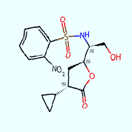 O=C1O[C@H]([C@H](CO)NS(=O)(=O)c2ccccc2[N+](=O)[O-])C[C@H]1C1CC1